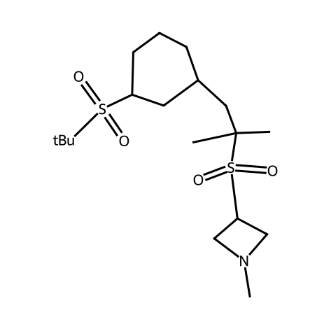 CN1CC(S(=O)(=O)C(C)(C)CC2CCCC(S(=O)(=O)C(C)(C)C)C2)C1